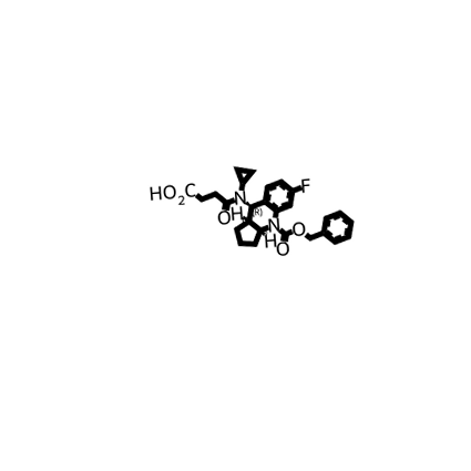 O=C(O)CCC(=O)N(C1CC1)[C@H]1c2ccc(F)cc2N(C(=O)OCc2ccccc2)[C@@H]2CCC[C@@H]21